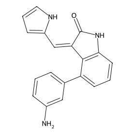 Nc1cccc(-c2cccc3c2C(=Cc2ccc[nH]2)C(=O)N3)c1